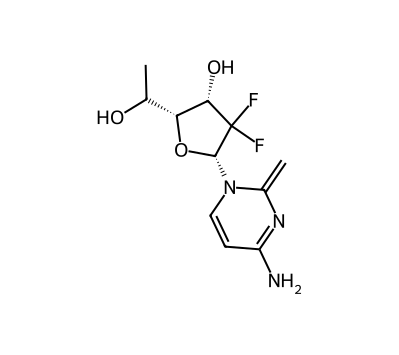 C=C1N=C(N)C=CN1[C@@H]1O[C@H](C(C)O)[C@H](O)C1(F)F